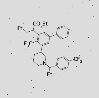 CCOC(=O)C(CC(C)C)c1cc(-c2ccccc2)cc(C2CCCN(C(CC)c3ccc(C(F)(F)F)cc3)C2)c1C(F)(F)F